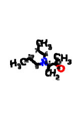 C=C(C(C)=O)N(CCC)CCC